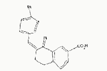 CCc1ccc(C=C2CCc3ccc(C(=O)O)cc3C2=O)cc1